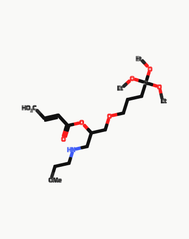 CCO[Si](CCCOCC(CNCCOC)OC(=O)C=CC(=O)O)(OCC)OCC